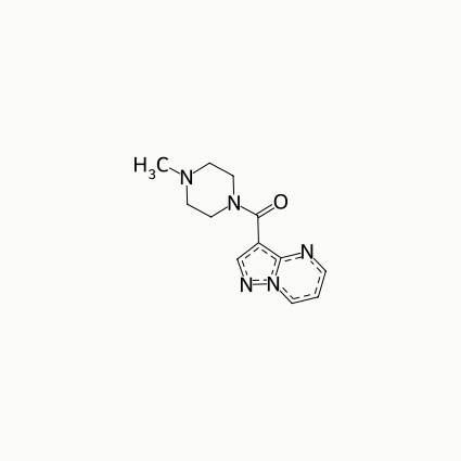 CN1CCN(C(=O)c2cnn3cccnc23)CC1